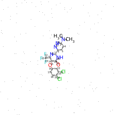 CN(C)c1ccc(-c2nc(C(F)(F)F)c(Oc3ccc(Cl)c(Cl)c3)c(=O)[nH]2)nn1